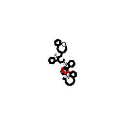 C=C1/C=C\C=C/Cc2cccc(-c3cccc4c3c3c(n4C(C)Cc4c(CC5=C/Cc6ccccc6OC/C=C\5)sc5ccccc45)CCC=C3)c2N1c1ccccc1